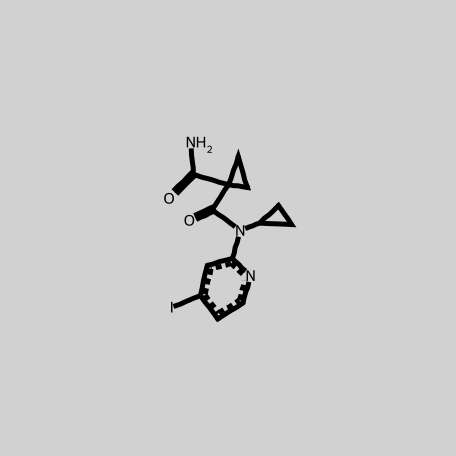 NC(=O)C1(C(=O)N(c2cc(I)ccn2)C2CC2)CC1